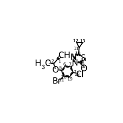 C#CC(C)Oc1cc(-n2nc(C3CC3)sc2=O)c(Cl)cc1Br